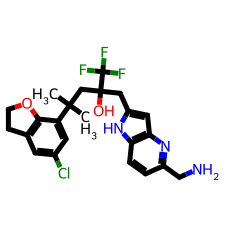 CC(C)(CC(O)(Cc1cc2nc(CN)ccc2[nH]1)C(F)(F)F)c1cc(Cl)cc2c1OCC2